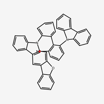 N#Cc1cccc(-n2c3ccccc3c3ccccc32)c1-c1ccccc1-n1c2ccccc2c2cc3c(cc21)oc1ccccc13